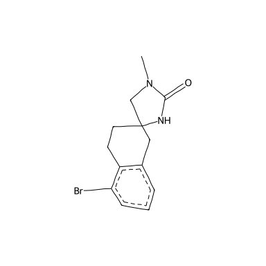 CN1CC2(CCc3c(Br)cccc3C2)NC1=O